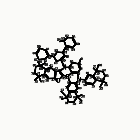 CC1=CC2=C3B(c4cc5c(cc4N2c2ccc4c(c2)C(C)(C)CCC4(C)C)C(C)(C)CCC5(C)C)c2oc4cc5c(cc4c2N(C2=CC(C4=CC=CCC4C)CC(C4=CC=CCC4)C2)C3C1)C(C)(C)CCC5(C)C